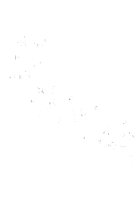 [2H]C([2H])([2H])OC(=O)N1CCC2(CC(N3CCC4(CC3)CNC(=O)O4)C2)C1